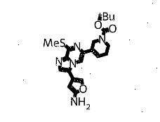 CSc1nc(C2=CCCN(C(=O)OC(C)(C)C)C2)cn2c(-c3coc(N)c3)cnc12